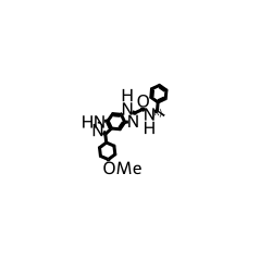 COC1CCC(c2n[nH]c3cc4[nH]c(C(=O)N[C@H](C)c5ccccc5)nc4cc23)CC1